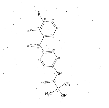 CC(O)(C(=O)Nc1ccc(C(=O)c2cccc(F)c2F)cc1)C(F)(F)F